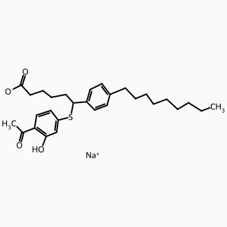 CCCCCCCCCc1ccc(C(CCCCC(=O)[O-])Sc2ccc(C(C)=O)c(O)c2)cc1.[Na+]